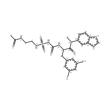 CC(=O)NCCNS(=O)(=O)NC(=O)NC(Cc1cc(F)cc(F)c1)C(=O)N(C)c1ccc2scnc2c1